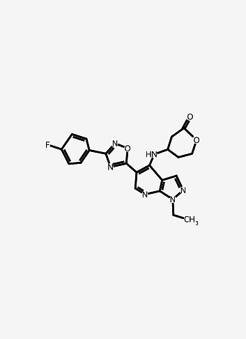 CCn1ncc2c(NC3CCOC(=O)C3)c(-c3nc(-c4ccc(F)cc4)no3)cnc21